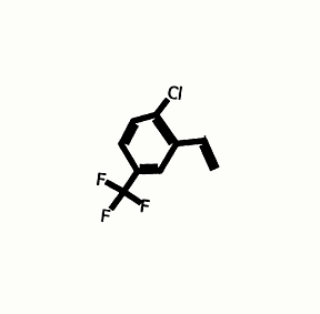 C=[C]c1cc(C(F)(F)F)ccc1Cl